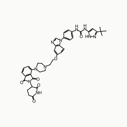 CC(C)(C)c1cc(NC(=O)Nc2ccc(-n3cnc4cc(OCCN5CCN(c6cccc7c6C(=O)N(C6CCC(=O)NC6=O)C7=O)CC5)ccc43)cc2)[nH]n1